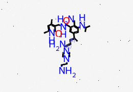 C/C(=C\C=C(/N)N1CCN(CCN)CC1)c1cc(NC(C)C)c(CN)c(C(=O)NCc2c(C)cc(C)[nH]c2=O)c1